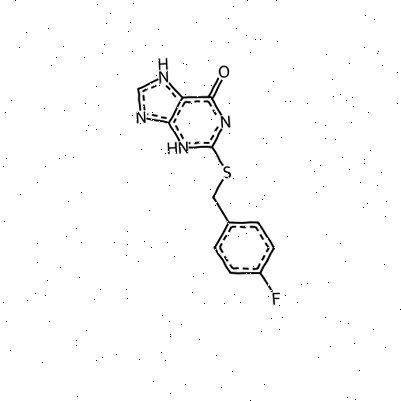 O=c1nc(SCc2ccc(F)cc2)[nH]c2nc[nH]c12